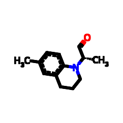 Cc1ccc2c(c1)CCCN2[C@@H](C)C=O